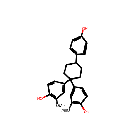 COc1cc(C2(c3ccc(O)c(OC)c3)CCC(c3ccc(O)cc3)CC2)ccc1O